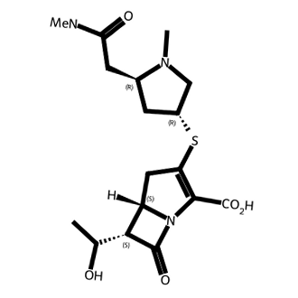 CNC(=O)C[C@@H]1C[C@@H](SC2=C(C(=O)O)N3C(=O)[C@H](C(C)O)[C@@H]3C2)CN1C